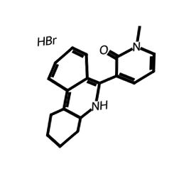 Br.Cn1cccc(C2=c3ccccc3=C3CCCCC3N2)c1=O